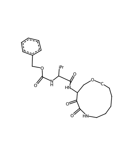 CC(C)C(NC(=O)OCc1ccccc1)C(=O)NC1COCCCCCCNC(=O)C1=O